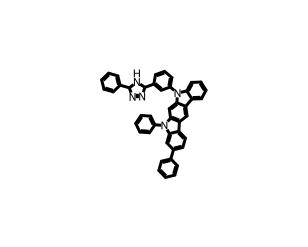 c1ccc(-c2ccc3c4cc5c6ccccc6n(-c6cccc(C7N=NC(c8ccccc8)N7)c6)c5cc4n(-c4ccccc4)c3c2)cc1